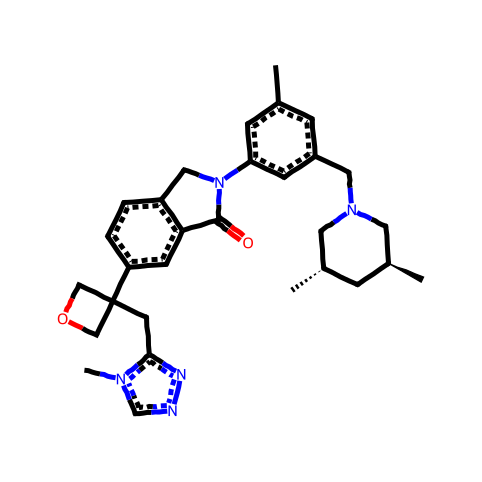 Cc1cc(CN2C[C@@H](C)C[C@H](C)C2)cc(N2Cc3ccc(C4(Cc5nncn5C)COC4)cc3C2=O)c1